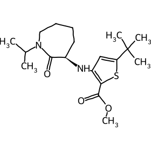 COC(=O)c1sc(C(C)(C)C)cc1N[C@@H]1CCCCN(C(C)C)C1=O